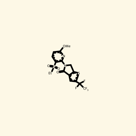 CCS(=O)(=O)c1ccc(OC)nc1N1Cc2sc(C(F)(F)C(F)(F)F)cc2C1=O